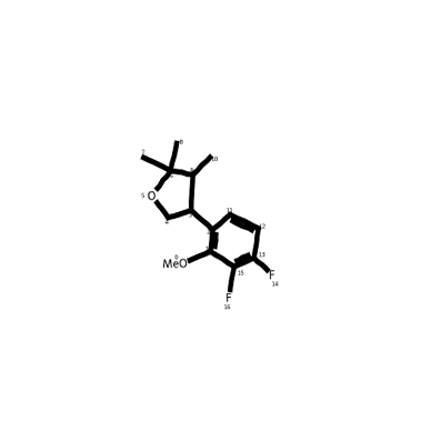 COc1c(C2COC(C)(C)C2C)ccc(F)c1F